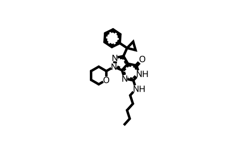 CCCCCNc1nc2c(c(C3(c4ccccc4)CC3)nn2C2CCCCO2)c(=O)[nH]1